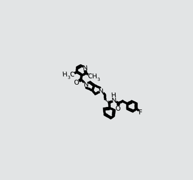 Cc1ccnc(C)c1C(=O)N1C=C2CN(CC[C@H](NC(=O)Cc3ccc(F)cc3)c3ccccc3)CC2C1